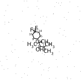 CC(C)C(O)C(C)(C)C1CCC(F)(F)CC1